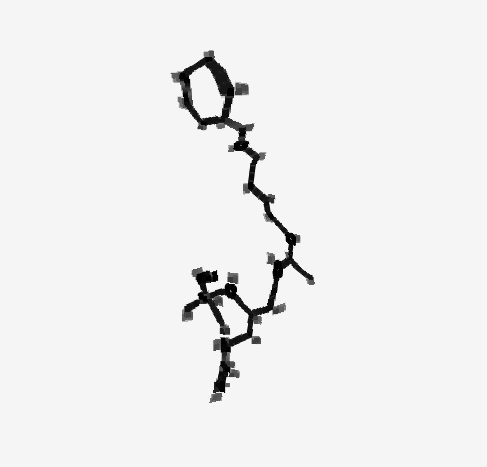 CC(OCCCCOCc1ccccc1)OCC(CN=[N+]=[N-])O[Si](C)(C)C(C)(C)C